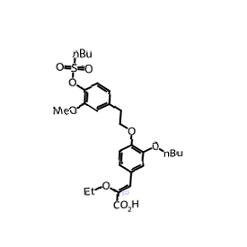 CCCCOc1cc(/C=C(\OCC)C(=O)O)ccc1OCCc1ccc(OS(=O)(=O)CCCC)c(OC)c1